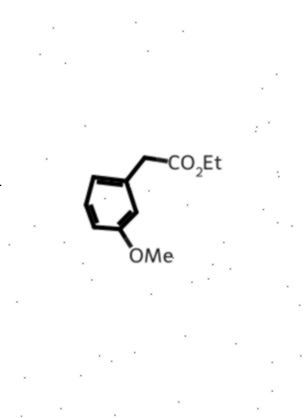 [CH2]Oc1cccc(CC(=O)OCC)c1